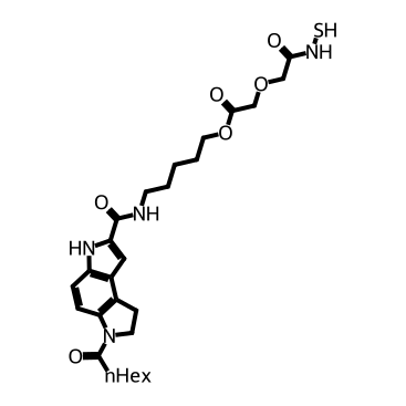 CCCCCCC(=O)N1CCc2c1ccc1[nH]c(C(=O)NCCCCCOC(=O)COCC(=O)NS)cc21